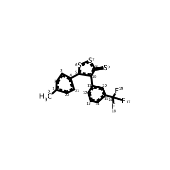 Cc1ccc(-c2ssc(=S)c2-c2cccc(C(F)(F)F)c2)cc1